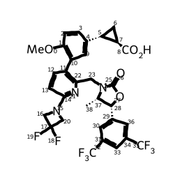 COc1ccc([C@@H]2C[C@H]2C(=O)O)cc1-c1ccc(N2CC(F)(F)C2)nc1CN1C(=O)O[C@H](c2cc(C(F)(F)F)cc(C(F)(F)F)c2)[C@@H]1C